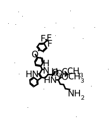 CC(C)(C)OC(=O)C(CCCCN)NC(=O)C1Cc2c([nH]c3ccccc23)C(c2ccc(Oc3ccc(C(F)(F)F)cc3)cc2)N1